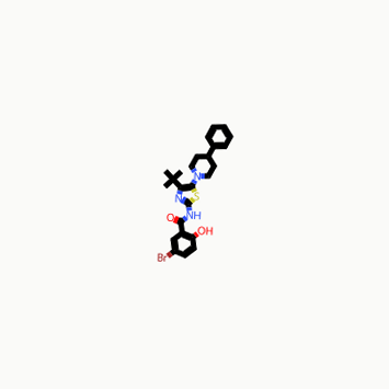 CC(C)(C)c1nc(NC(=O)c2cc(Br)ccc2O)sc1N1CCC(c2ccccc2)CC1